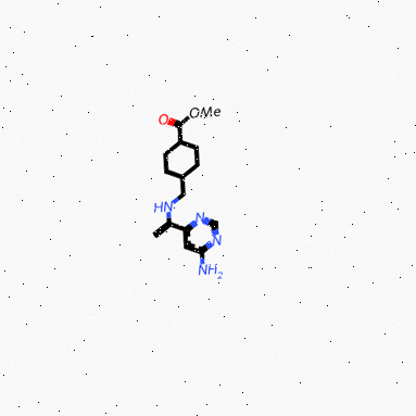 C=C(NCC1CCC(C(=O)OC)CC1)c1cc(N)ncn1